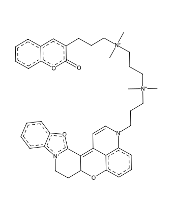 C[N+](C)(CCCc1cc2ccccc2oc1=O)CCC[N+](C)(C)CCCN1C=CC2=C3c4oc5ccccc5[n+]4CCC3Oc3cccc1c32